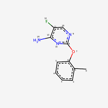 Cc1ccccc1Oc1ncc(F)c(N)n1